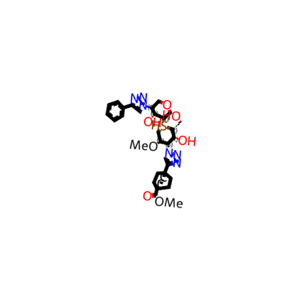 COC(=O)C12CCC(c3cn([C@H]4[C@@H](O)[C@@H](CO)[SH]([C@@H]5COC[C@H](n6cc(-c7ccccc7)nn6)[C@H]5O)C[C@@H]4OC)nn3)(CC1)CC2